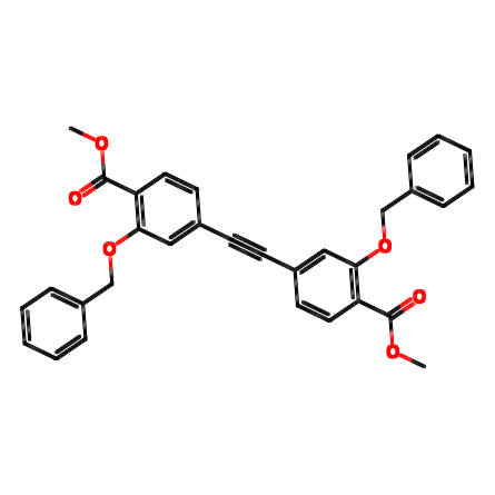 COC(=O)c1ccc(C#Cc2ccc(C(=O)OC)c(OCc3ccccc3)c2)cc1OCc1ccccc1